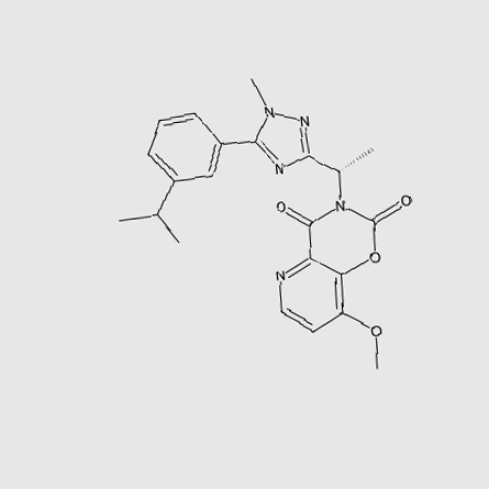 COc1ccnc2c(=O)n([C@@H](C)c3nc(-c4cccc(C(C)C)c4)n(C)n3)c(=O)oc12